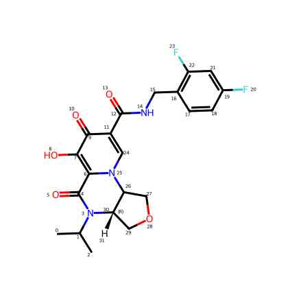 CC(C)N1C(=O)c2c(O)c(=O)c(C(=O)NCc3ccc(F)cc3F)cn2C2COC[C@@H]21